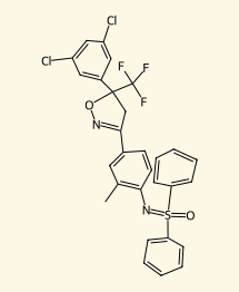 Cc1cc(C2=NOC(c3cc(Cl)cc(Cl)c3)(C(F)(F)F)C2)ccc1N=S(=O)(c1ccccc1)c1ccccc1